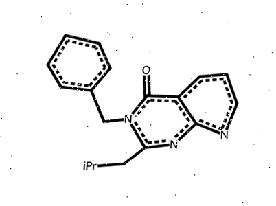 CC(C)Cc1nc2ncccc2c(=O)n1Cc1ccccc1